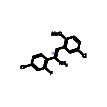 COc1ccc(Cl)cc1/C=C(\N)c1ccc(Cl)cc1F